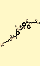 CCCCCCOC(=O)NN=Cc1ccc(NCc2nc3cc(C(=O)N(CCCCC(=O)O)c4ccccn4)ccc3n2C)cc1